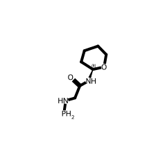 O=C(CNP)N[C@H]1CCCCO1